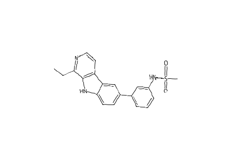 CCc1nccc2c1[nH]c1ccc(-c3cccc(NS(C)(=O)=O)c3)cc12